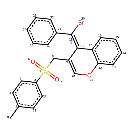 Cc1ccc(S(=O)(=O)CC2=COc3ccccc3/C2=C(\Br)c2ccccc2)cc1